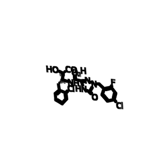 O=C(N[C@H](Cc1ccccc1Cl)[C@@H](O)C(=O)O)c1nn(Cc2ccc(Cl)cc2F)c(=O)[nH]1